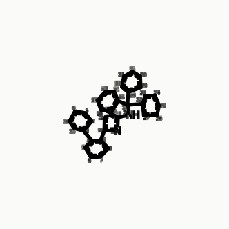 c1ccc(-c2ccccc2-c2csc(NC(c3ccccc3)(c3ccccc3)c3ccccc3)n2)cc1